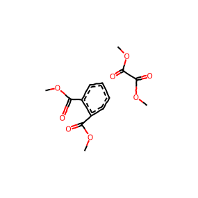 COC(=O)C(=O)OC.COC(=O)c1ccccc1C(=O)OC